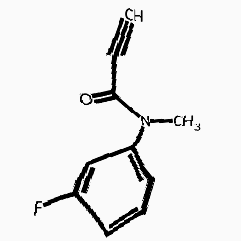 C#CC(=O)N(C)c1cccc(F)c1